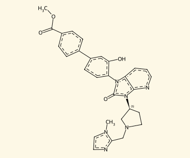 COC(=O)c1ccc(-c2ccc(-n3c(=O)n([C@H]4CCN(Cc5nccn5C)C4)c4ncccc43)c(O)c2)cc1